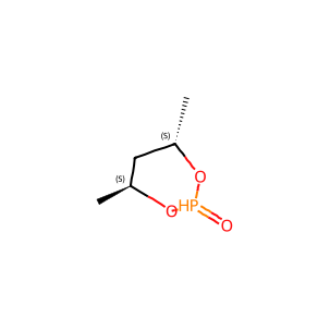 C[C@H]1C[C@H](C)O[PH](=O)O1